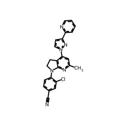 Cc1cc(-n2ccc(-c3ccccn3)n2)c2c(n1)N(c1ccc(C#N)cc1Cl)CC2